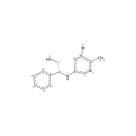 Cc1ncc(N[C@@H](CO)c2ccccc2)cc1Br